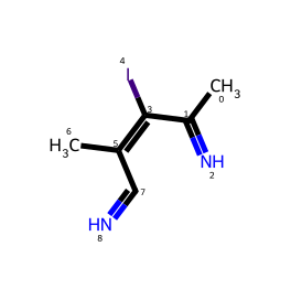 CC(=N)/C(I)=C(/C)C=N